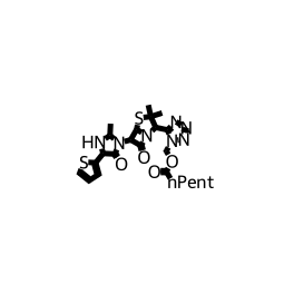 CCCCCC(=O)OCn1nnnc1C1N2C(=O)C(N3C(=O)C(c4cccs4)NC3C)C2SC1(C)C